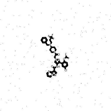 O=C(Nc1cn(CC(=O)N2CCC(N(CCC(F)(F)F)Cc3ccccc3)CC2)nc1-c1cc(Cl)ccc1OC(F)F)c1cnn2cccnc12